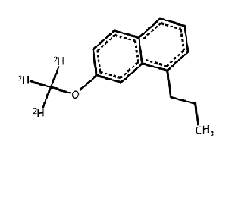 [2H]C([2H])([2H])Oc1ccc2cccc(CCC)c2c1